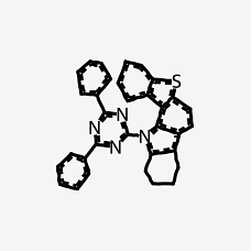 c1ccc(-c2nc(-c3ccccc3)nc(-n3c4c(c5ccc6sc7ccccc7c6c53)CCCC4)n2)cc1